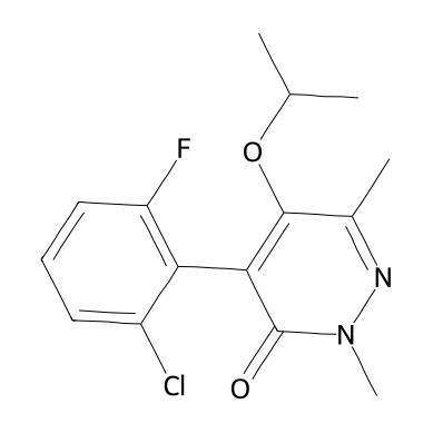 Cc1nn(C)c(=O)c(-c2c(F)cccc2Cl)c1OC(C)C